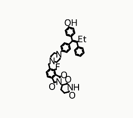 CCC(=C(c1ccc(O)cc1)c1ccc(N2CCN(Cc3ccc4c(c3F)C(=O)N(C3CCC(=O)NC3=O)C4=O)CC2)cc1)c1ccccc1